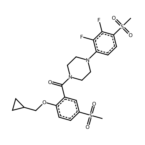 CS(=O)(=O)c1ccc(OCC2CC2)c(C(=O)N2CCN(c3ccc(S(C)(=O)=O)c(F)c3F)CC2)c1